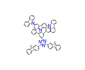 c1ccc(-c2cc(-c3nc(-c4ccc5c(c4)sc4ccccc45)nc(-c4ccc5c(c4)sc4ccccc45)n3)cc(-c3ccccc3)c2-n2c3ccc(-n4c5ccccc5c5ccccc54)cc3c3ccc(-n4c5ccccc5c5ccccc54)cc32)cc1